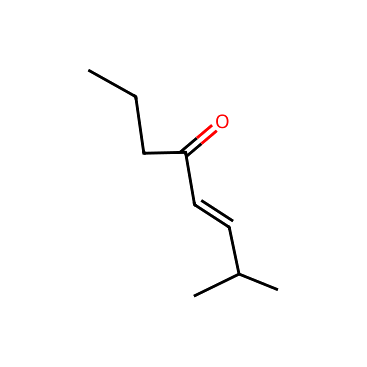 CCCC(=O)C=CC(C)C